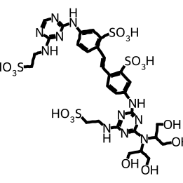 O=S(=O)(O)CCNc1ncnc(Nc2ccc(C=Cc3ccc(Nc4nc(NCCS(=O)(=O)O)nc(N(C(CO)CO)C(CO)CO)n4)cc3S(=O)(=O)O)c(S(=O)(=O)O)c2)n1